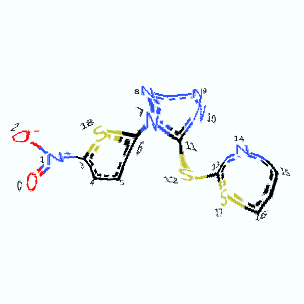 O=[N+]([O-])c1ccc(-n2nnnc2Sc2nccs2)s1